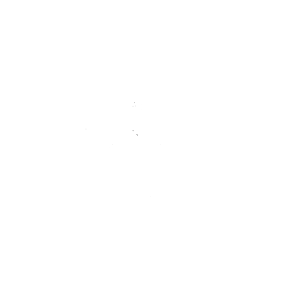 CC(=O)N1C(=O)CCSc2ccccc21